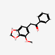 COc1cc(CC(=O)c2ccccc2)cc2c1OCO2